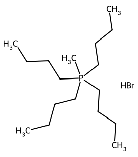 Br.CCCCP(C)(CCCC)(CCCC)CCCC